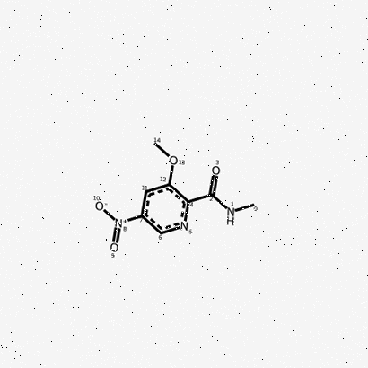 CNC(=O)c1ncc([N+](=O)[O-])cc1OC